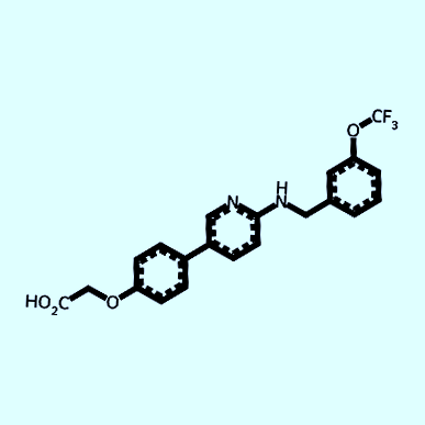 O=C(O)COc1ccc(-c2ccc(NCc3cccc(OC(F)(F)F)c3)nc2)cc1